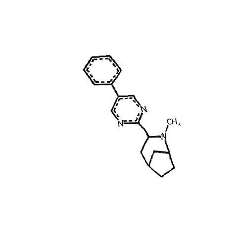 CN1C2CCC(C2)CC1c1ncc(-c2ccccc2)cn1